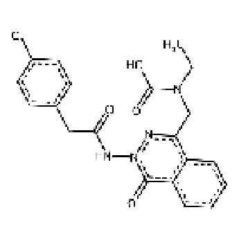 CCN(Cc1nn(NC(=O)Cc2ccc(Cl)cc2)c(=O)c2ccccc12)C(=O)O